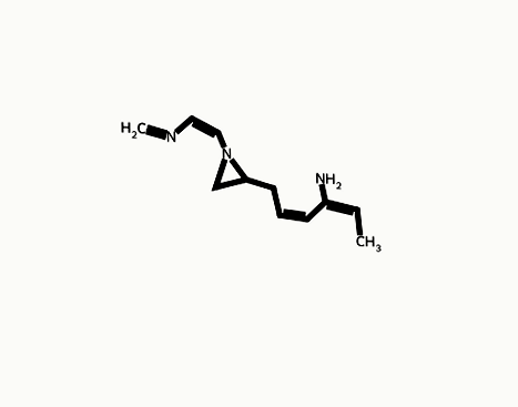 C=N/C=C\N1CC1C/C=C\C(N)=C/C